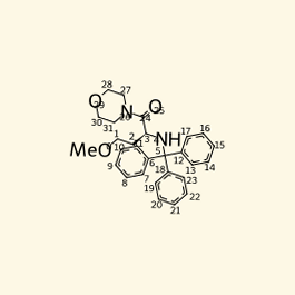 COCC[C@H](NC(c1ccccc1)(c1ccccc1)c1ccccc1)C(=O)N1CCOCC1